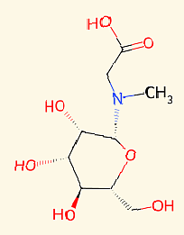 CN(CC(=O)O)[C@@H]1O[C@H](CO)[C@@H](O)[C@H](O)[C@@H]1O